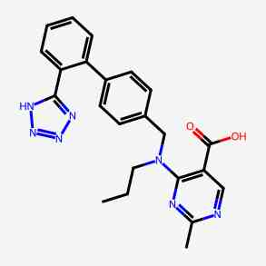 CCCN(Cc1ccc(-c2ccccc2-c2nnn[nH]2)cc1)c1nc(C)ncc1C(=O)O